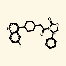 O=C(CC1CCC(c2ccnc3ccc(F)cc23)CC1)N1C(=O)OC[C@H]1c1ccccc1